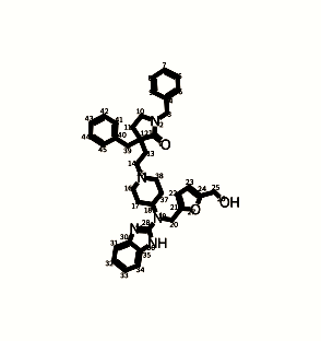 O=C1N(Cc2ccccc2)CCC1(CCN1CCC(N(Cc2ccc(CO)o2)c2nc3ccccc3[nH]2)CC1)Cc1ccccc1